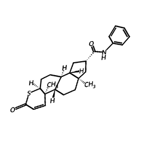 C[C@]12CC[C@H]3[C@@H](CC[C@@H]4SC(=O)C=C[C@@]43C)[C@@H]1C[C@H](C(=O)Nc1ccccc1)C2